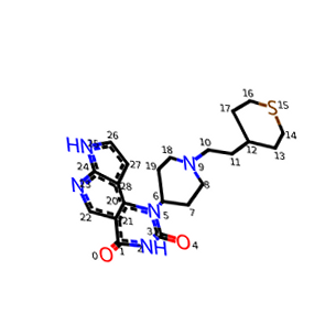 O=c1[nH]c(=O)n(C2CCN(CCC3CCSCC3)CC2)c2c1cnc1[nH]ccc12